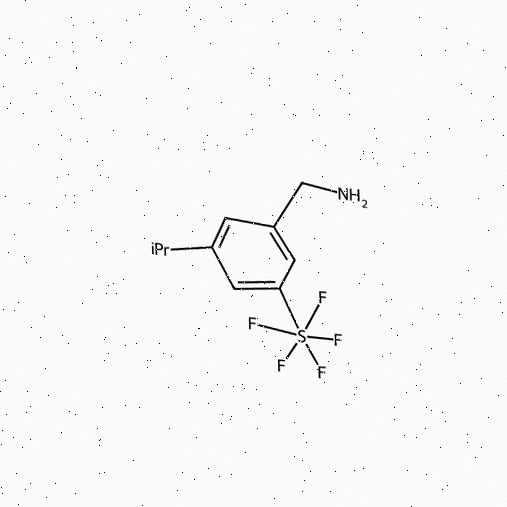 CC(C)c1cc(CN)cc(S(F)(F)(F)(F)F)c1